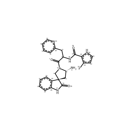 N[C@@H]1C[C@@]2(CN1C(=O)C(Cc1ccccn1)NC(=O)c1[nH]ccc1F)C(=O)Nc1ccccc12